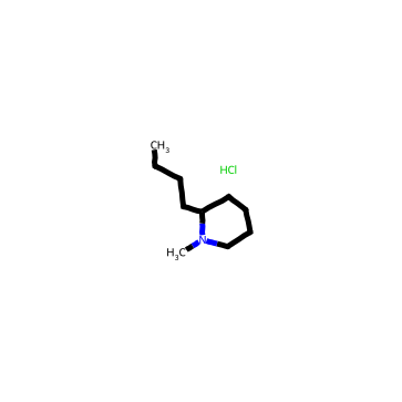 CCCCC1CCCCN1C.Cl